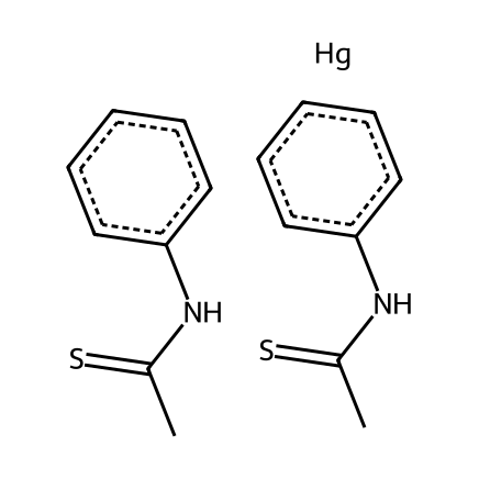 CC(=S)Nc1ccccc1.CC(=S)Nc1ccccc1.[Hg]